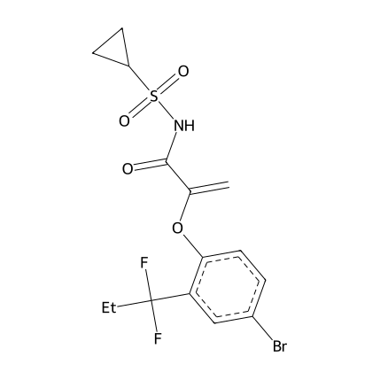 C=C(Oc1ccc(Br)cc1C(F)(F)CC)C(=O)NS(=O)(=O)C1CC1